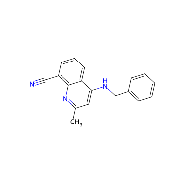 Cc1cc(NCc2ccccc2)c2cccc(C#N)c2n1